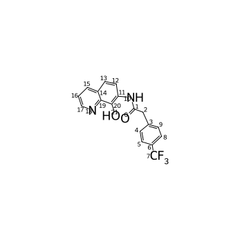 O=C(Cc1ccc(C(F)(F)F)cc1)Nc1ccc2cccnc2c1O